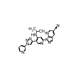 CC(C)Nc1cc(-n2ncc3cc(C#N)cnc32)ncc1-c1cn(-c2cccnc2)nn1